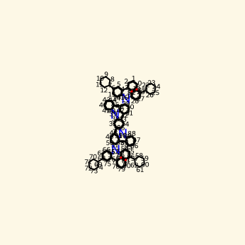 c1ccc(-c2cc(C3CCCCC3)ccc2N(c2ccc(C3CCCCC3)cc2)c2ccc3c4cc5c(cc4n4c6ccccc6c2c34)c2ccc(N(c3ccc(C4CCCCC4)cc3)c3ccc(C4CCCCC4)cc3-c3ccccc3)c3c4ccccc4n5c23)cc1